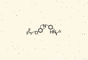 C=C(NCc1ccc(CN2CCc3cc(OCC4CC4(F)F)ccc3C2)cc1)C1CC1